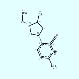 CC(C)(C)C[C@H]1O[C@@H](c2cnc(N)[nH]c2=O)CC1C(C)(C)C